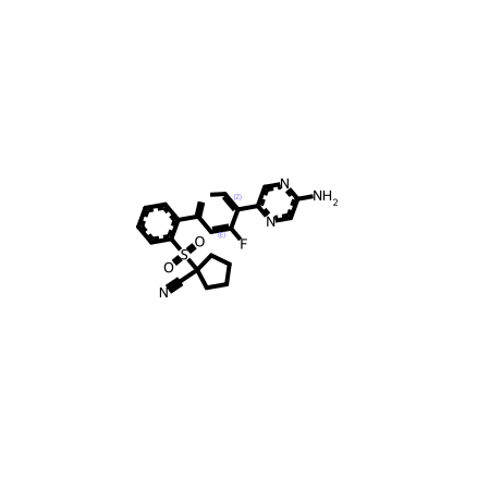 C=C(/C=C(F)\C(=C/C)c1cnc(N)cn1)c1ccccc1S(=O)(=O)C1(C#N)CCCC1